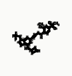 COc1cc(S(C)(=O)=O)ccc1NCC#Cc1cc(NC2CNC2)c2ccn(CC(F)(F)F)c2c1